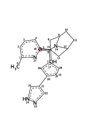 Cc1cccc(C2(O)CC3CCC(C2)N3C(=O)c2csc(-c3cn[nH]c3)c2)n1